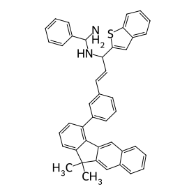 CC1(C)c2cc3ccccc3cc2-c2c(-c3cccc(/C=C/C(NC(N)c4ccccc4)c4cc5ccccc5s4)c3)cccc21